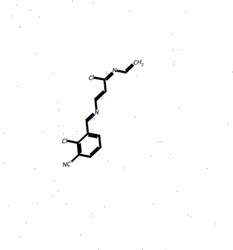 C=C\N=C(Cl)/C=C/N=C/c1cccc(C#N)c1Cl